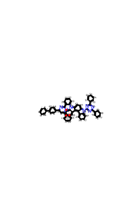 c1ccc(-c2ccc(-c3cc(-c4ccccc4)nc(-c4ccccc4-n4c5ccccc5c5c6c7ccccc7n(-c7nc(-c8ccccc8)nc(-c8ccccc8)n7)c6ccc54)n3)cc2)cc1